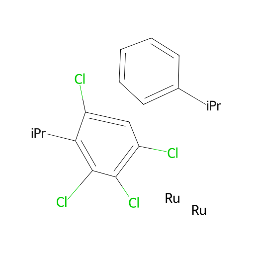 CC(C)c1c(Cl)cc(Cl)c(Cl)c1Cl.CC(C)c1ccccc1.[Ru].[Ru]